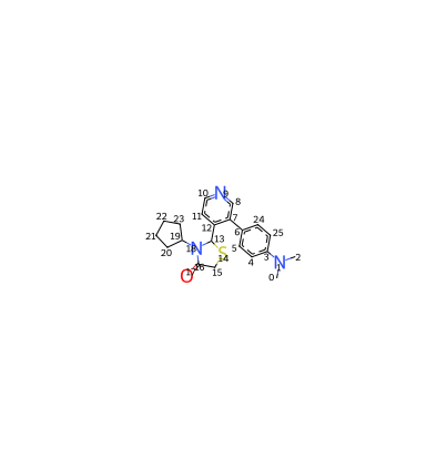 CN(C)c1ccc(-c2cnccc2C2SCC(=O)N2C2CCCC2)cc1